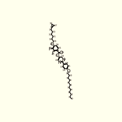 CCCCCCCCCCCCOc1ccc(-c2ncc(OC(=O)c3ccc(OCCCCCCC4CC4)c(F)c3F)cn2)cc1